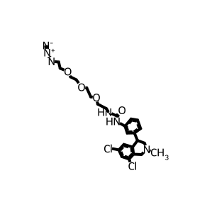 CN1Cc2c(Cl)cc(Cl)cc2C(c2cccc(NC(=O)NCCOCCOCCOCCN=[N+]=[N-])c2)C1